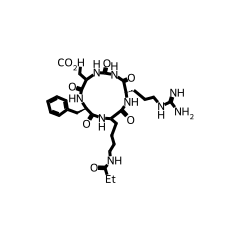 CCC(=O)NCCCCC1NC(=O)[C@@H](Cc2ccccc2)NC(=O)C(CC(=O)O)NC(=O)NC(=O)[C@H](CCCNC(=N)N)NC1=O